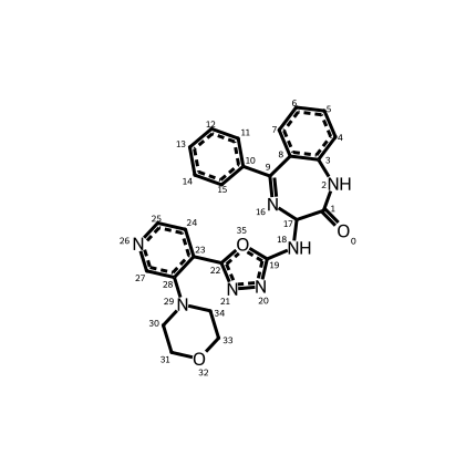 O=C1Nc2ccccc2C(c2ccccc2)=NC1Nc1nnc(-c2ccncc2N2CCOCC2)o1